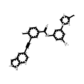 Cc1ncn(-c2cc(NC(=O)c3ccc(C)c(C#Cc4cnc5[nH]ncc5c4)c3)cc(C(F)(F)F)c2)n1